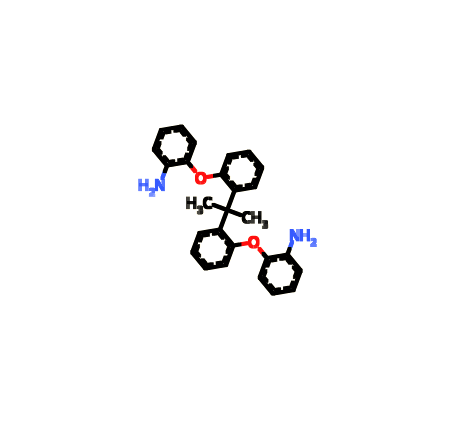 CC(C)(c1ccccc1Oc1ccccc1N)c1ccccc1Oc1ccccc1N